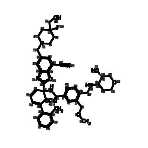 COCc1cc(C(=O)NC2(c3nc4cc(CN5CCC(F)(CO)CC5)cc(C#N)c4o3)C=CC=C(c3ccccc3C)C2Cl)ncc1CN[C@@H]1CCOC[C@H]1O